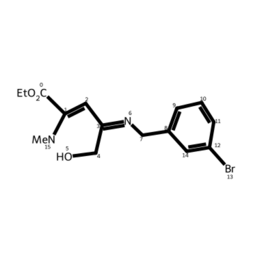 CCOC(=O)/C(=C/C(CO)=N/Cc1cccc(Br)c1)NC